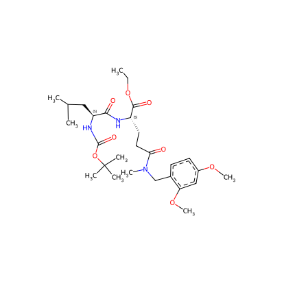 CCOC(=O)[C@H](CCC(=O)N(C)Cc1ccc(OC)cc1OC)NC(=O)[C@H](CC(C)C)NC(=O)OC(C)(C)C